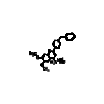 COc1cc2nc(N3CCN(Cc4ccccc4)CC3)cc(N)c2cc1OC.Cl.Cl